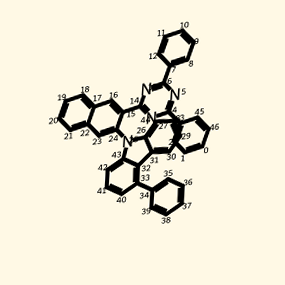 c1ccc(-c2nc(-c3ccccc3)nc(-c3cc4ccccc4cc3-n3c4ccccc4c4c(-c5ccccc5)cccc43)n2)cc1